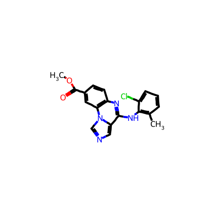 COC(=O)c1ccc2nc(Nc3c(C)cccc3Cl)c3cncn3c2c1